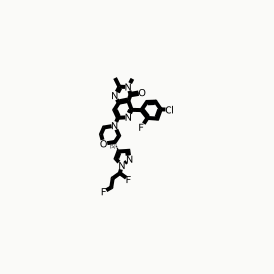 Cc1nc2cc(N3CCO[C@@H](c4cnn(C(F)CCF)c4)C3)nc(-c3ccc(Cl)cc3F)c2c(=O)n1C